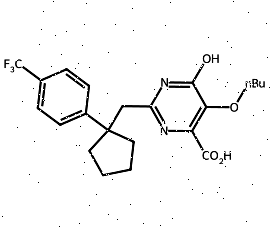 CCCCOc1c(O)nc(CC2(c3ccc(C(F)(F)F)cc3)CCCC2)nc1C(=O)O